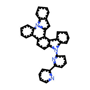 c1ccc(-c2cccc(-n3c4ccccc4c4c5c(ccc43)c3ccccc3n3c4ccccc4cc53)n2)nc1